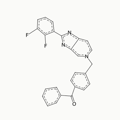 O=C(c1ccccc1)c1ccc(Cn2ccc3nc(-c4cccc(F)c4F)nc-3c2)cc1